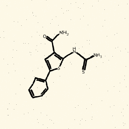 NC(=O)c1cc(-c2ccccc2)sc1NC(N)=S